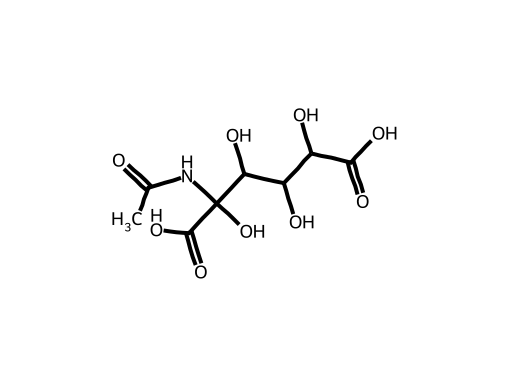 CC(=O)NC(O)(C(=O)O)C(O)C(O)C(O)C(=O)O